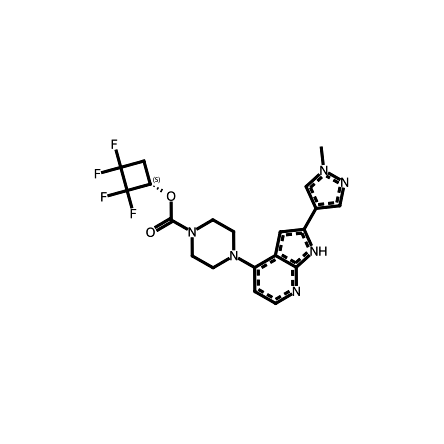 Cn1cc(-c2cc3c(N4CCN(C(=O)O[C@H]5CC(F)(F)C5(F)F)CC4)ccnc3[nH]2)cn1